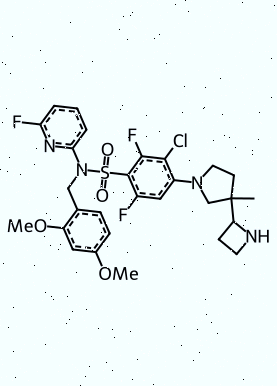 COc1ccc(CN(c2cccc(F)n2)S(=O)(=O)c2c(F)cc(N3CCC(C)(C4CCN4)C3)c(Cl)c2F)c(OC)c1